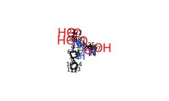 O=C(NN(Cc1ccc(-c2ccccc2)cc1F)C[C@@H](O)C(=O)O)c1cc(O)no1